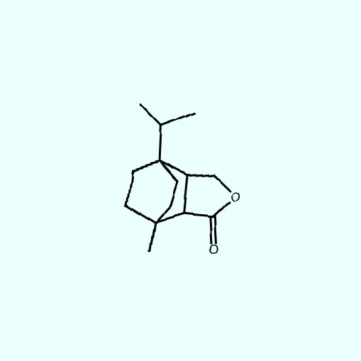 CC(C)C12CCC(C)(CC1)C1C(=O)OCC12